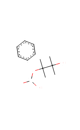 CC(C)(O)C(C)(C)OB(O)O.c1ccccc1